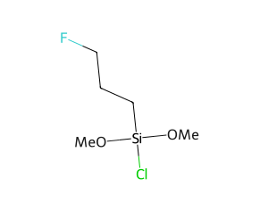 CO[Si](Cl)(CCCF)OC